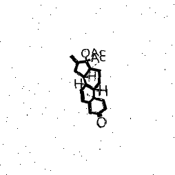 C=C1C[C@H]2[C@@H]3C=CC4=CC(=O)CC[C@]4(C)[C@H]3CC[C@]2(C)[C@@]1(OC(C)=O)C(C)=O